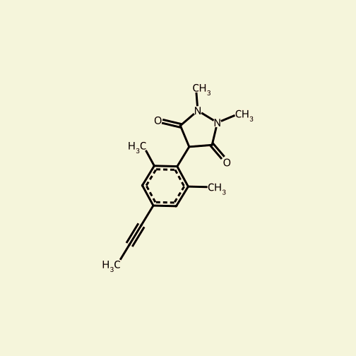 CC#Cc1cc(C)c(C2C(=O)N(C)N(C)C2=O)c(C)c1